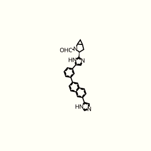 O=CN1C2CC2C[C@H]1c1ncc(-c2cccc(-c3ccc4cc(-c5cnc[nH]5)ccc4c3)c2)[nH]1